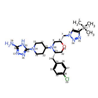 C[Si](C)(C)c1cn(C[C@H]2CN(C3CCN(c4nnc(N)[nH]4)CC3)[C@@H](Cc3ccc(Cl)cc3)CO2)nn1